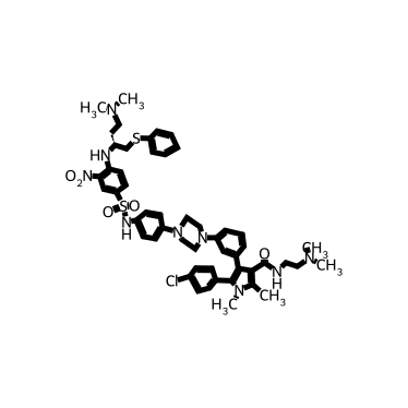 Cc1c(C(=O)NCCN(C)C)c(-c2cccc(N3CCN(c4ccc(NS(=O)(=O)c5ccc(N[C@H](CCN(C)C)CSc6ccccc6)c([N+](=O)[O-])c5)cc4)CC3)c2)c(-c2ccc(Cl)cc2)n1C